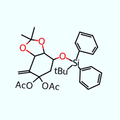 C=C1C2OC(C)(C)OC2C(O[Si](c2ccccc2)(c2ccccc2)C(C)(C)C)CC1(OC(C)=O)OC(C)=O